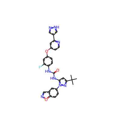 CC(C)(C)c1cc(NC(=O)Nc2ccc(Oc3ccnc(-c4cn[nH]c4)c3)cc2F)n(-c2ccc3oncc3c2)n1